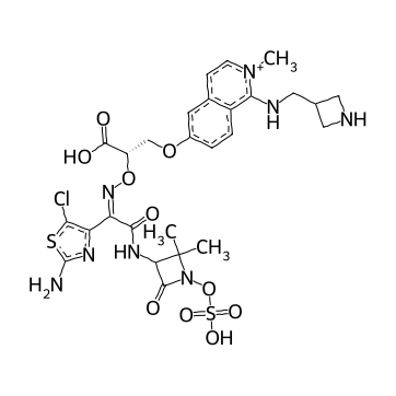 C[n+]1ccc2cc(OC[C@H](O/N=C(\C(=O)NC3C(=O)N(OS(=O)(=O)O)C3(C)C)c3nc(N)sc3Cl)C(=O)O)ccc2c1NCC1CNC1